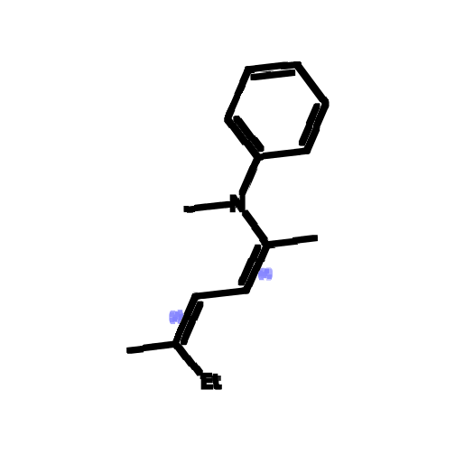 CC/C(C)=C\C=C(\C)N(C)c1ccccc1